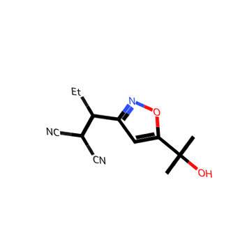 CCC(c1cc(C(C)(C)O)on1)C(C#N)C#N